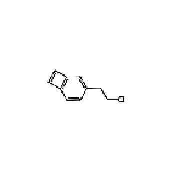 ClCCc1ccc2c(c1)C=C2